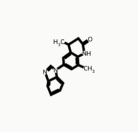 Cc1cc(-n2cnc3ccccc32)cc2c1NC(=O)CC2C